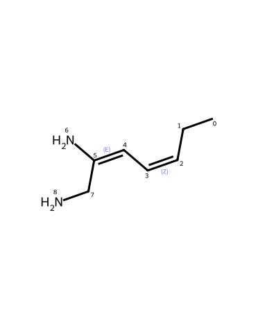 CC/C=C\C=C(\N)CN